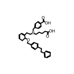 O=C(O)CCCCN(CCC1=CC=CCC1OCc1ccc(CCc2ccccc2)cc1)Cc1ccc(C(=O)O)cc1